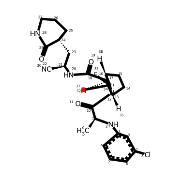 C[C@H](Nc1cccc(Cl)c1)C(=O)N1[C@H]2CC[C@@H]([C@@H]1C(=O)N[C@@H](C#N)C[C@H]1CCCNC1=O)C(F)(F)C2